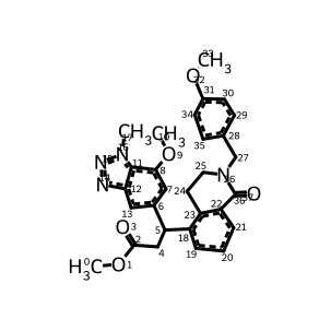 COC(=O)CC(c1cc(OC)c2c(c1)nnn2C)c1cccc2c1CCN(Cc1ccc(OC)cc1)C2=O